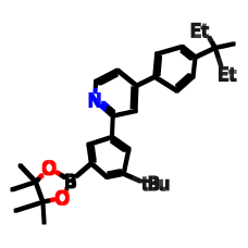 CCC(C)(CC)c1ccc(-c2ccnc(-c3cc(B4OC(C)(C)C(C)(C)O4)cc(C(C)(C)C)c3)c2)cc1